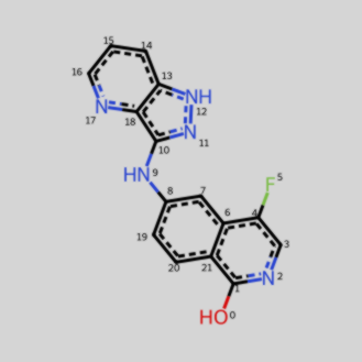 Oc1ncc(F)c2cc(Nc3n[nH]c4cccnc34)ccc12